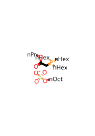 CCCCCCCCOS(=O)(=O)[O-].CCCCCC[P+](CCCCCC)(CCCCCC)CC(=O)OCCC